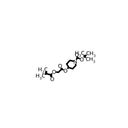 C=C(C)C(=O)OCC(=O)OC1CCN(C(=O)OC(C)(C)C)CC1